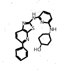 O[C@H]1CC[C@H](Nc2cccc(Nc3nc4ccc(-c5ccccc5)nc4s3)n2)CC1